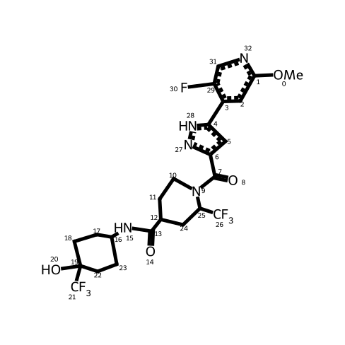 COc1cc(-c2cc(C(=O)N3CCC(C(=O)NC4CCC(O)(C(F)(F)F)CC4)CC3C(F)(F)F)n[nH]2)c(F)cn1